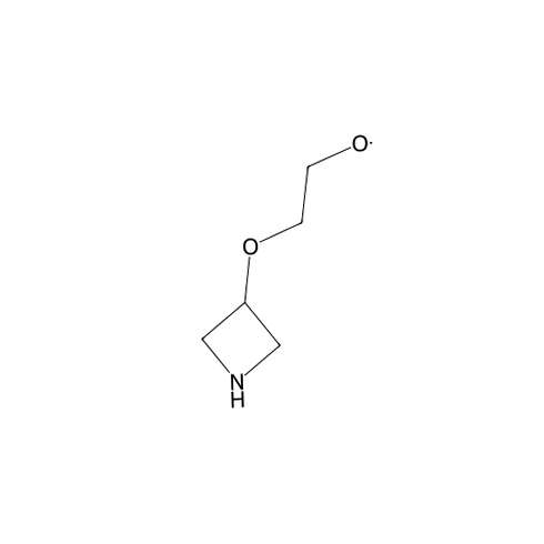 [O]CCOC1CNC1